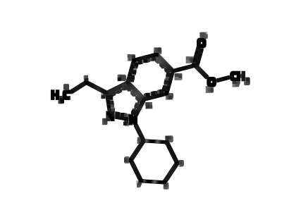 CCc1nn(C2CCCCC2)c2cc(C(=O)OC)ccc12